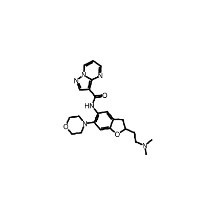 CN(C)CCC1Cc2cc(NC(=O)c3cnn4cccnc34)c(N3CCOCC3)cc2O1